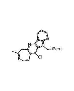 CCCC(C)Cn1c2bcccc2c2nc3c(c(Cl)c21)C=CB=C(C)C3